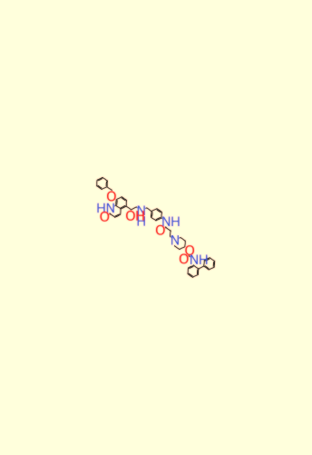 O=C(CCN1CCC(OC(=O)Nc2ccccc2-c2ccccc2)CC1)Nc1ccc(CNCC(O)c2ccc(OCc3ccccc3)c3[nH]c(=O)ccc23)cc1